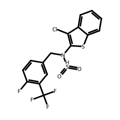 O=[SH](=O)N(Cc1ccc(F)c(C(F)(F)F)c1)c1sc2ccccc2c1Cl